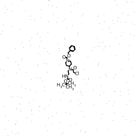 CC(C)(C)OC(=O)NCCN(C(=O)CCl)C1CCN(C(=O)OCc2ccccc2)CC1